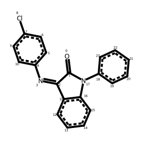 O=C1C(=Nc2ccc(Cl)cc2)c2ccccc2N1c1ccccc1